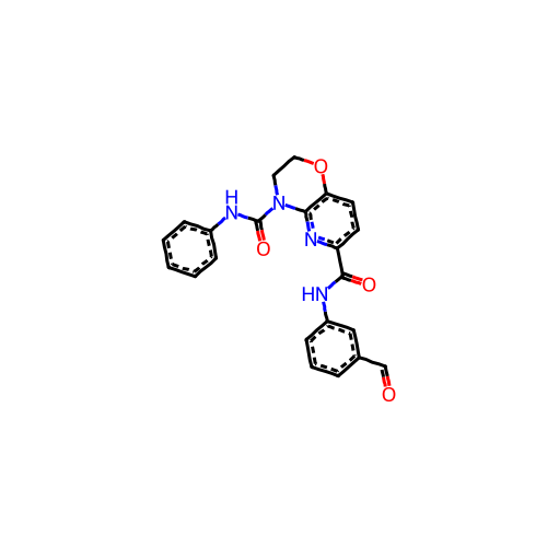 O=Cc1cccc(NC(=O)c2ccc3c(n2)N(C(=O)Nc2ccccc2)CCO3)c1